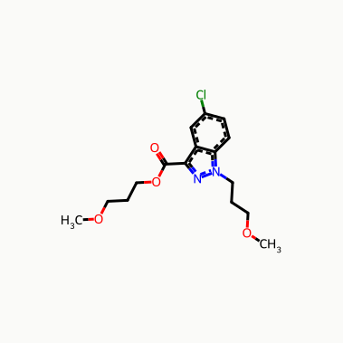 COCCCOC(=O)c1nn(CCCOC)c2ccc(Cl)cc12